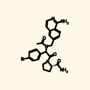 CC(=O)N(Cc1ccc2c(N)nccc2c1)C(C(=O)N1CCC[C@H]1C(N)=O)c1ccc(Br)cc1